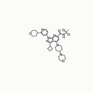 CS(=O)(=O)NC(=O)c1cc(N2CCC(N3CCOCC3)CC2)c2c(C3CCC3)nn(-c3ccnc(C4CCOCC4)c3)c2n1